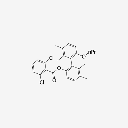 CCCOc1ccc(C)c(C)c1-c1c(OC(=O)c2c(Cl)cccc2Cl)ccc(C)c1C